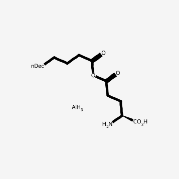 CCCCCCCCCCCCCC(=O)OC(=O)CC[C@H](N)C(=O)O.[AlH3]